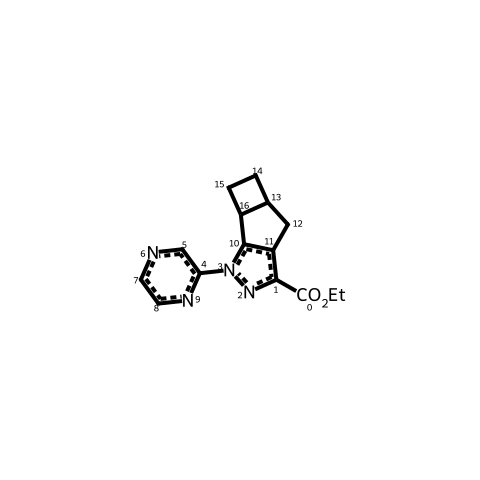 CCOC(=O)c1nn(-c2cnccn2)c2c1CC1CCC21